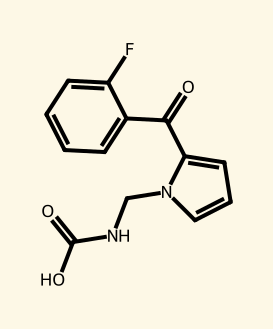 O=C(O)NCn1cccc1C(=O)c1ccccc1F